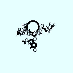 COc1ccc2c(O[C@@H]3C[C@H]4C(=O)N[C@]5(C(=O)NS(=O)(=O)C6(C)CC6)C[C@H]5C=CCCCCC[C@H](NC(=O)c5cnn(CC(F)F)n5)C(=O)N4C3)cc(OC(C)C)nc2c1C